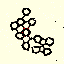 c1ccc(-c2ccc(-c3ccccc3N(c3ccc(-c4cccc(-c5ccccc5)c4-c4ccccc4-c4ccccc4)cc3)c3ccc4c(c3)C3(c5ccccc5-c5ccccc53)c3ccccc3-4)cc2)cc1